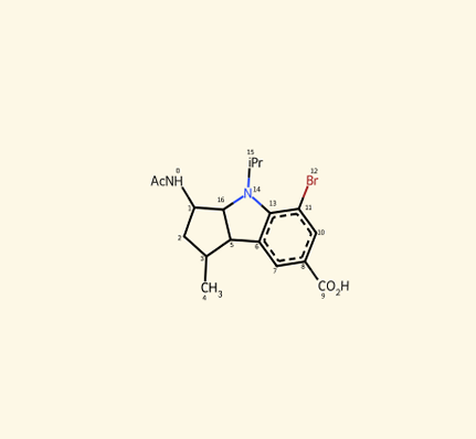 CC(=O)NC1CC(C)C2c3cc(C(=O)O)cc(Br)c3N(C(C)C)C12